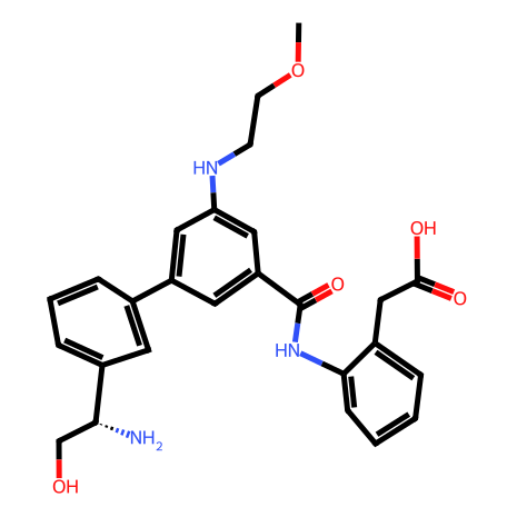 COCCNc1cc(C(=O)Nc2ccccc2CC(=O)O)cc(-c2cccc([C@H](N)CO)c2)c1